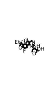 CC[C@@]1(C)COc2c(F)cc(-c3nc(N[C@@H]4CCOC[C@H]4O)ncc3Cl)cc21